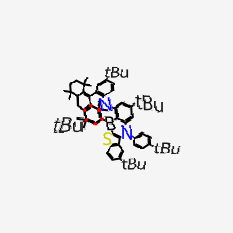 CC(C)(C)c1ccc(N2c3cc(C(C)(C)C)cc4c3B(c3cc(C(C)(C)C)ccc3N4c3ccc(C(C)(C)C)cc3-c3c4c(cc5c3C(C)(C)CCC5(C)C)C(C)(C)CCC4(C)C)c3sc4ccc(C(C)(C)C)cc4c32)cc1